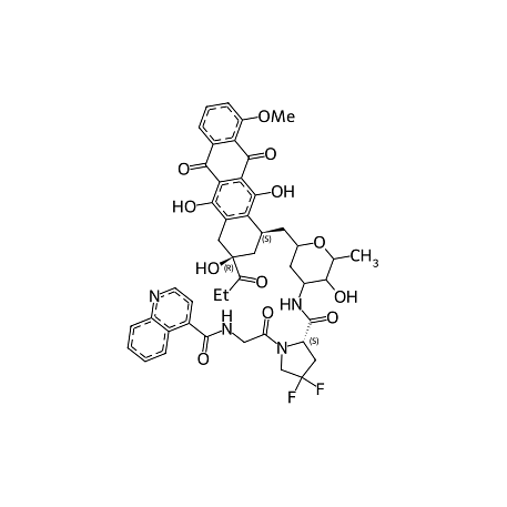 CCC(=O)[C@]1(O)Cc2c(O)c3c(c(O)c2[C@@H](CC2CC(NC(=O)[C@@H]4CC(F)(F)CN4C(=O)CNC(=O)c4ccnc5ccccc45)C(O)C(C)O2)C1)C(=O)c1c(OC)cccc1C3=O